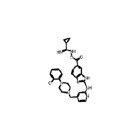 N=C(NOC(=O)c1ccc2nc(Nc3cc(CN4CCN(c5ccccc5Cl)CC4)ccn3)[nH]c2c1)C1CC1